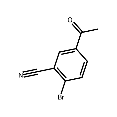 CC(=O)c1ccc(Br)c(C#N)c1